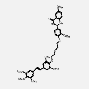 COc1ccc2c(c1)C(=O)NC(c1ccc(OCCCCCOc3c(OC)cc(C=Cc4cc(OC)c(OC)c(OC)c4)cc3OC)c(OC)c1)N2